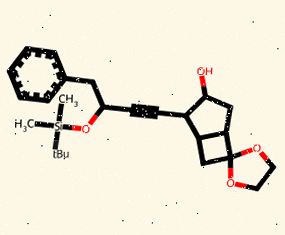 CC(C)(C)[Si](C)(C)OC(C#CC1C(O)CC2C1CC21OCCO1)Cc1ccccc1